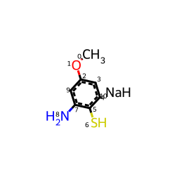 COc1ccc(S)c(N)c1.[NaH]